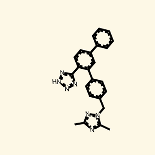 Cc1nc(C)n(Cc2ccc(-c3cc(-c4ccccc4)ccc3-c3nn[nH]n3)cc2)n1